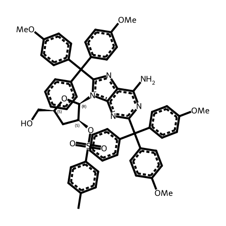 COc1ccc(C(c2ccccc2)(c2ccc(OC)cc2)c2nc(N)c3nc(C(c4ccccc4)(c4ccc(OC)cc4)c4ccc(OC)cc4)n([C@@H]4O[C@H](CO)C[C@@H]4OS(=O)(=O)c4ccc(C)cc4)c3n2)cc1